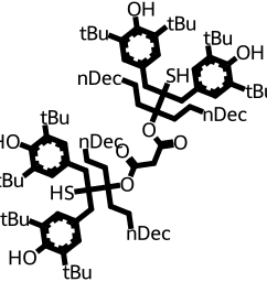 CCCCCCCCCCCCC(CCCCCCCCCCCC)(OC(=O)CC(=O)OC(CCCCCCCCCCCC)(CCCCCCCCCCCC)C(S)(Cc1cc(C(C)(C)C)c(O)c(C(C)(C)C)c1)Cc1cc(C(C)(C)C)c(O)c(C(C)(C)C)c1)C(S)(Cc1cc(C(C)(C)C)c(O)c(C(C)(C)C)c1)Cc1cc(C(C)(C)C)c(O)c(C(C)(C)C)c1